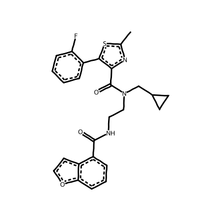 Cc1nc(C(=O)N(CCNC(=O)c2cccc3occc23)CC2CC2)c(-c2ccccc2F)s1